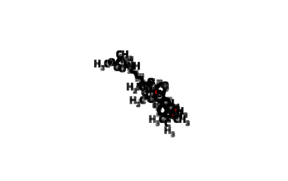 COC(=O)C(C)NC(=O)NCCCCC(N)C(=O)O[C@H]1[C@H](OC(C)=O)C[C@@]23COC[C@]1(C)[C@@H]2CC[C@H]1C3=CC[C@@]2(C)[C@H](C(=O)O)[C@@](C)([C@H](C)C(C)C)CC[C@]12C